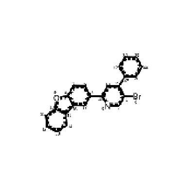 Brc1cnc(-c2ccc3oc4ccccc4c3c2)cc1-c1ccccc1